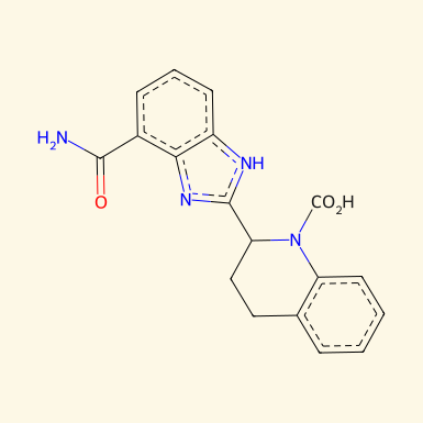 NC(=O)c1cccc2[nH]c(C3CCc4ccccc4N3C(=O)O)nc12